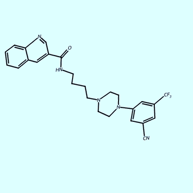 N#Cc1cc(N2CCN(CCCCNC(=O)c3cnc4ccccc4c3)CC2)cc(C(F)(F)F)c1